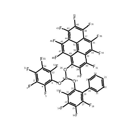 Fc1c(F)c(F)c(OB(Oc2c(F)c(F)c(F)c(F)c2-c2ccccc2)Oc2c(F)c(F)c3c(F)c(F)c4c(F)c(F)c(F)c5c(F)c(F)c2c3c45)c(F)c1F